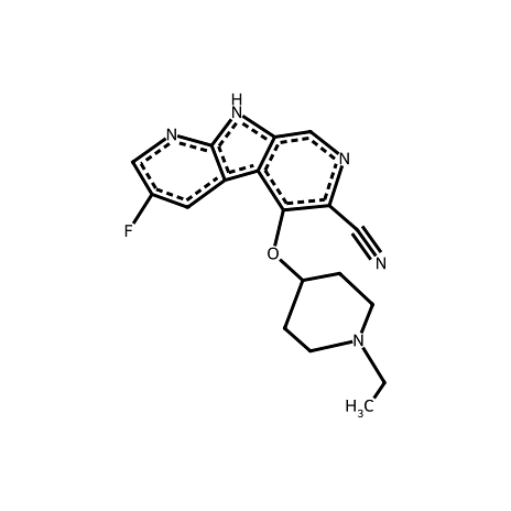 CCN1CCC(Oc2c(C#N)ncc3[nH]c4ncc(F)cc4c23)CC1